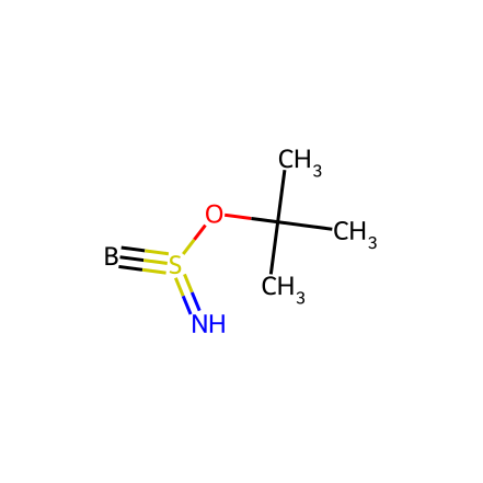 B#S(=N)OC(C)(C)C